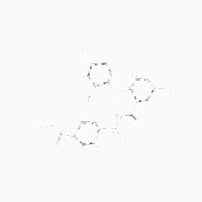 COC(=O)c1ccc([C@H](C)NC(=O)c2cc(Cl)cnc2Oc2ccc(C)cc2Cl)cc1